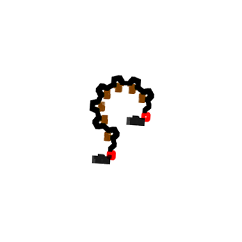 CCCCOCCc1ccc(-c2ccc(-c3ccc(-c4ccc(-c5ccc(-c6ccc(-c7ccc(CCOCCCC)s7)s6)s5)s4)s3)s2)s1